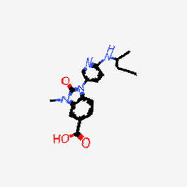 CCC(C)Nc1ccc(-n2c(=O)n(C)c3cc(C(=O)O)ccc32)cn1